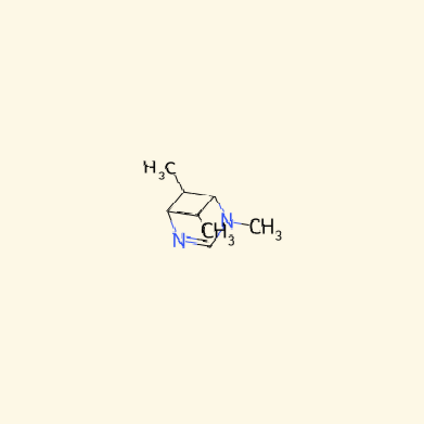 CC1C2N=CN(C)C1C2C